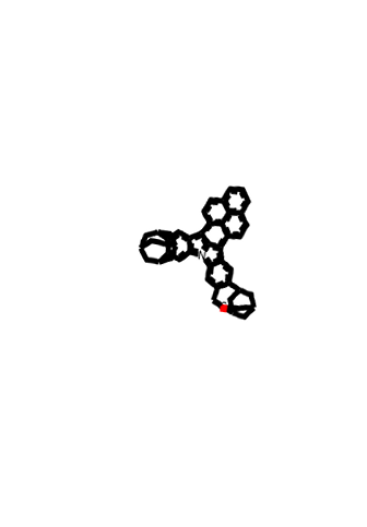 c1cc2ccc3c4c(ccc(c1)c24)c1c2cc4c(cc2n2c5cc6c(cc5c3c12)C1CC2CC(C1)CC6C2)C1CC2CC(CC4C2)C1